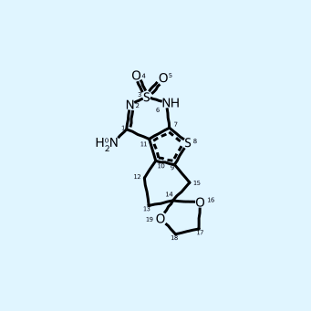 NC1=NS(=O)(=O)Nc2sc3c(c21)CCC1(C3)OCCO1